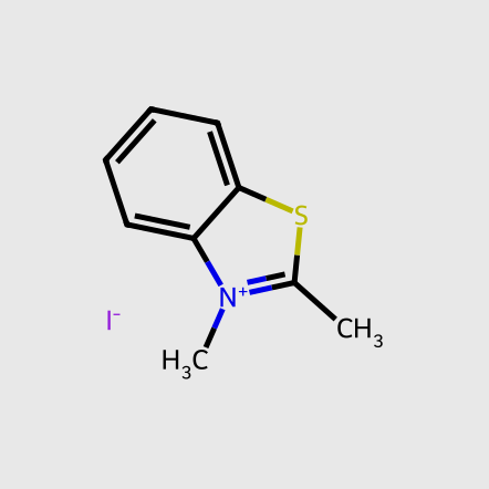 Cc1sc2ccccc2[n+]1C.[I-]